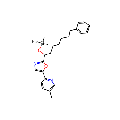 Cc1ccc(-c2cnc(C(CCCCCCc3ccccc3)O[Si](C)(C)C(C)(C)C)o2)nc1